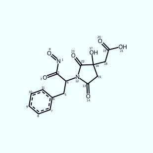 O=NC(=O)C(Cc1ccccc1)N1C(=O)CC(O)(CC(=O)O)C1=O